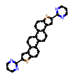 c1cnc(-c2cc3c(ccc4c3ccc3c5ccc6sc(-c7ncccn7)cc6c5ccc43)s2)nc1